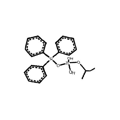 CC(C)[O][Zr]([OH])([OH])[O][Si](c1ccccc1)(c1ccccc1)c1ccccc1